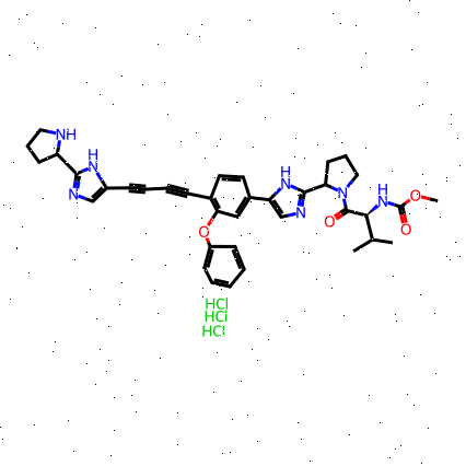 COC(=O)N[C@H](C(=O)N1CCCC1c1ncc(-c2ccc(C#CC#Cc3cnc(C4CCCN4)[nH]3)c(Oc3ccccc3)c2)[nH]1)C(C)C.Cl.Cl.Cl